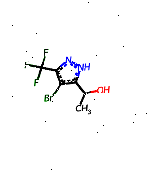 CC(O)c1[nH]nc(C(F)(F)F)c1Br